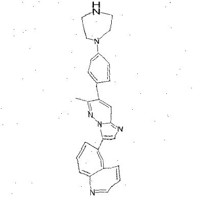 Cc1nn2c(-c3cccc4ncccc34)cnc2cc1-c1ccc(N2CCNCC2)cc1